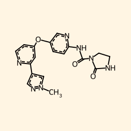 Cn1cc(-c2cc(Oc3ccc(NC(=O)N4CCNC4=O)nc3)ccn2)cn1